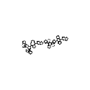 C1=C/C(c2ccc3cc(-c4ccc5oc6c(c5c4)c4ccccc4c4oc5cc(-c7c8ccccc8c(-c8ccc9ccccc9c8)c8ccccc78)ccc5c46)ccc3c2)=c2/cccc/c2=C(c2cc3c4ccccc4oc3c3cc4oc5ccccc5c4cc23)/C=C/CC/1